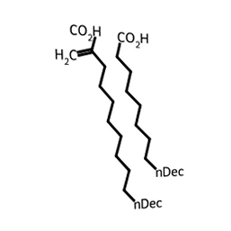 C=C(CCCCCCCCCCCCCCCCCC)C(=O)O.CCCCCCCCCCCCCCCCCC(=O)O